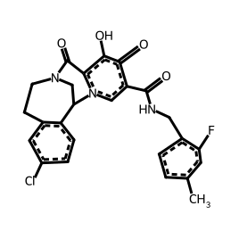 Cc1ccc(CNC(=O)c2cn3c(c(O)c2=O)C(=O)N2CCc4cc(Cl)ccc4C3C2)c(F)c1